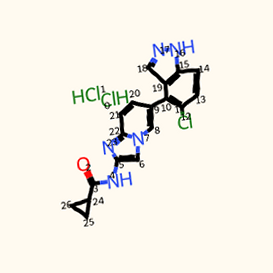 Cl.Cl.O=C(Nc1cn2cc(-c3c(Cl)ccc4[nH]ncc34)ccc2n1)C1CC1